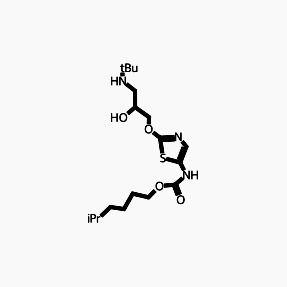 CC(C)CCCCOC(=O)Nc1cnc(OCC(O)CNC(C)(C)C)s1